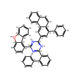 c1ccc(-c2ccccc2-c2nc(-c3cc(-c4ccccc4)c4ccc5ccccc5c4c3)nc(-c3cccc4oc5ccccc5c34)n2)cc1